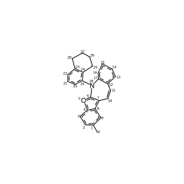 Cc1ccc2oc3c(c2c1)C=Cc1ccccc1N3c1cccc2c1CCCC2